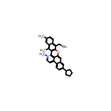 Cc1ccc2c(CC(C)(C)C)c3c(c(C)c2c1)-c1c2c(cc4cc(C5CCCC5)ccc4c2cc[n+]1C)O3